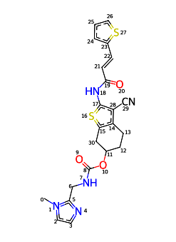 Cn1ccnc1CNC(=O)OC1CCc2c(sc(NC(=O)C=Cc3cccs3)c2C#N)C1